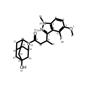 COc1ccc2c(c(C(C)CC(=O)N3C4CC5CC3CC(O)(C5)C4)nn2C)c1F